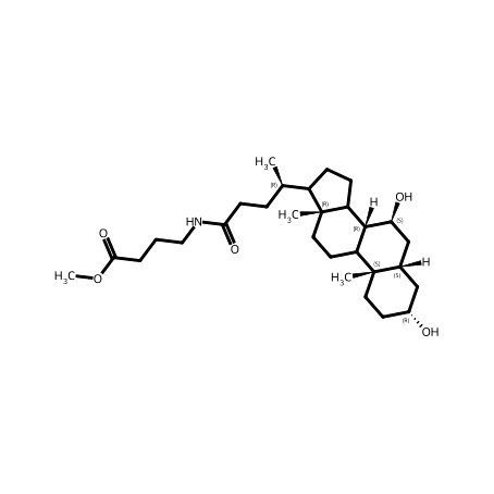 COC(=O)CCCNC(=O)CC[C@@H](C)C1CCC2[C@H]3C(CC[C@@]21C)[C@@]1(C)CC[C@@H](O)C[C@H]1C[C@@H]3O